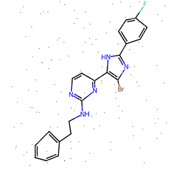 Fc1ccc(-c2nc(Br)c(-c3ccnc(NCCc4ccccc4)n3)[nH]2)cc1